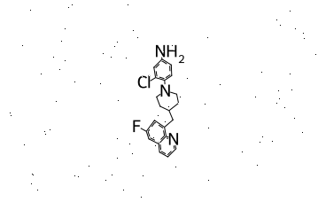 Nc1ccc(N2CCC(Cc3cc(F)cc4cccnc34)CC2)c(Cl)c1